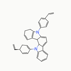 C=Cc1ccc(N2C3=CC=C4c5ccccc5N(C5=CC[C@H](C=C)C=C5)C4C3C3=C2CCC=C3)cc1